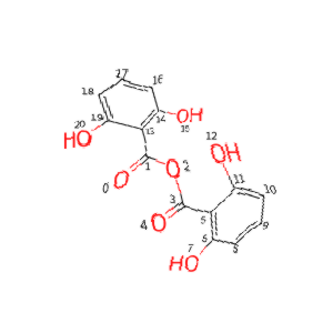 O=C(OC(=O)c1c(O)cccc1O)c1c(O)cccc1O